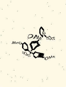 CCCCCCCC[B-](c1ccc(OC)cc1)(c1ccc(OC)cc1)c1ccc(OC)cc1.CCCCCCCC[n+]1ccccc1